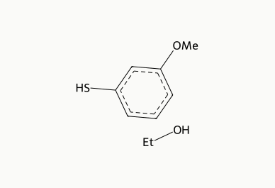 CCO.COc1cccc(S)c1